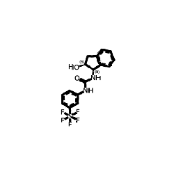 O=C(Nc1cccc(S(F)(F)(F)(F)F)c1)N[C@@H]1c2ccccc2C[C@@H]1O